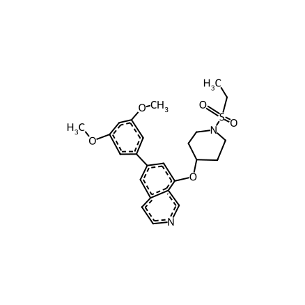 CCS(=O)(=O)N1CCC(Oc2cc(-c3cc(OC)cc(OC)c3)cc3ccncc23)CC1